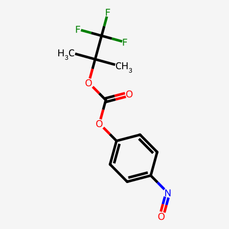 CC(C)(OC(=O)Oc1ccc(N=O)cc1)C(F)(F)F